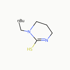 CCCCCN1CCCN=C1S